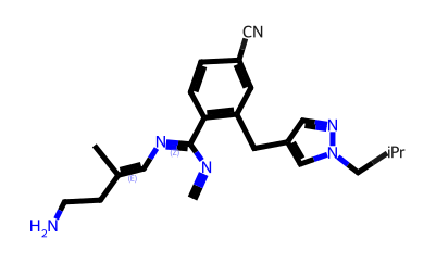 C=N/C(=N\C=C(/C)CCN)c1ccc(C#N)cc1Cc1cnn(CC(C)C)c1